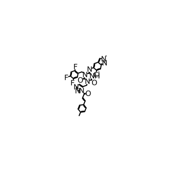 Cc1ccc(/C=C/C(=O)n2nncc2Cn2c(=O)[nH]/c(=N\c3cc4cn(C)nc4cc3Cl)n(Cc3cc(F)c(F)cc3F)c2=O)cc1